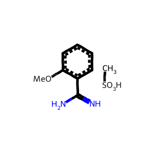 COc1ccccc1C(=N)N.CS(=O)(=O)O